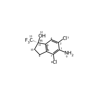 Nc1c(Cl)cc2c(c1Cl)CC[C@]2(O)C(F)(F)F